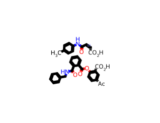 CC(=O)c1ccc(OC(=O)c2ccccc2C(=O)NCc2ccccc2)c(C(=O)O)c1.Cc1ccc(NC(=O)/C=C\C(=O)O)cc1